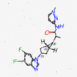 CC(C(=O)Nc1ccn(C)n1)[C@H]1[C@@H]2C[C@@H](n3cnc4cc(F)c(F)cc43)C[C@@H]21